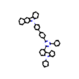 c1ccc(-c2nc(-c3ccc(-c4ccc(-n5c6ccccc6c6cc7ccccc7cc65)cc4)cc3)nc(-c3cccc4c3c3ccccc3n4-c3ccccc3)n2)cc1